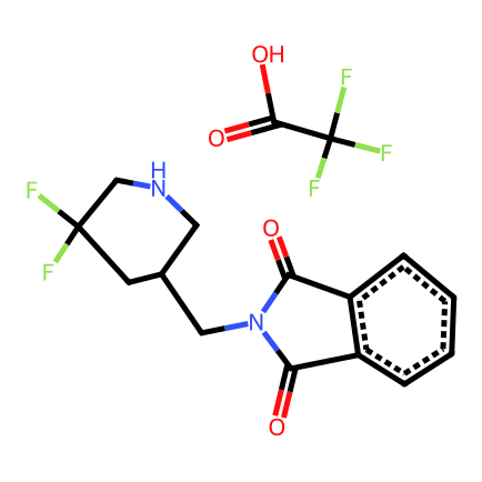 O=C(O)C(F)(F)F.O=C1c2ccccc2C(=O)N1CC1CNCC(F)(F)C1